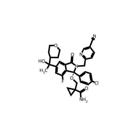 CC(O)(c1cc(F)c2c(c1)C(=O)N(Cc1ccc(C#N)cn1)[C@@]2(OCC1(C(N)=O)CC1)c1ccc(Cl)cc1)C1CCOCC1